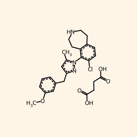 COc1cccc(Cc2cc(C)n(-c3c(Cl)ccc4c3CCNCC4)n2)c1.O=C(O)CCC(=O)O